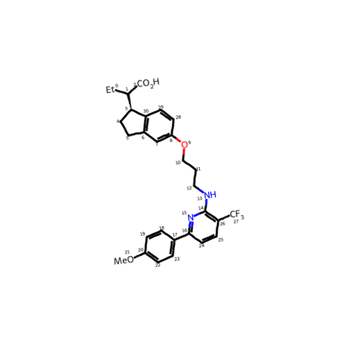 CCC(C(=O)O)[C@@H]1CCc2cc(OCCCNc3nc(-c4ccc(OC)cc4)ccc3C(F)(F)F)ccc21